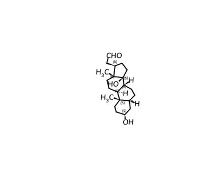 C[C@]12CC[C@H](O)C[C@H]1CC[C@@H]1[C@@H]2CC[C@]2(C)[C@@H](CC=O)CC[C@]12O